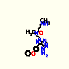 CNC/C=C/C(=O)N(C)CCn1nc(-c2ccc(Oc3ccccc3)cc2)c2c(N)ncnc21